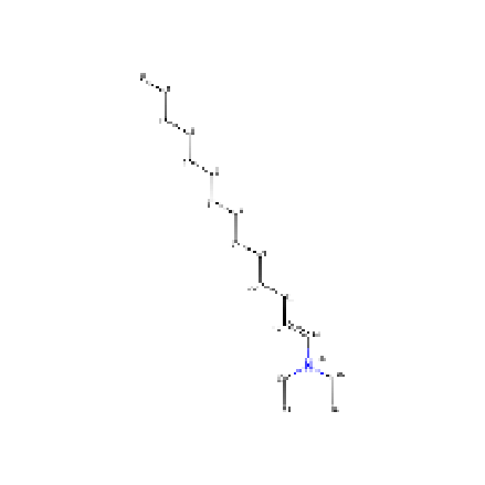 CCCCCCCCCCCCC=CN(CC)CC